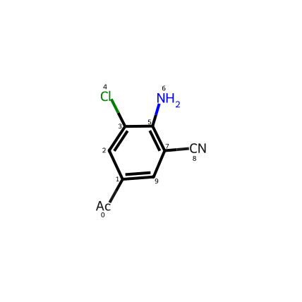 CC(=O)c1cc(Cl)c(N)c(C#N)c1